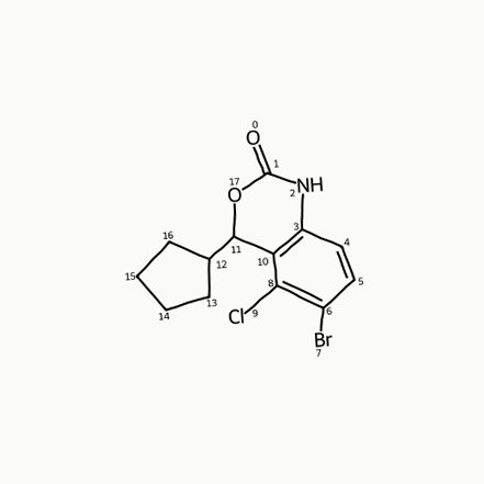 O=C1Nc2ccc(Br)c(Cl)c2C(C2CCCC2)O1